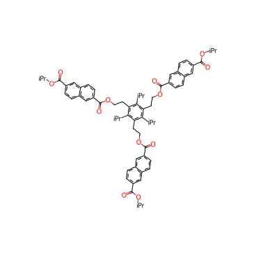 CC(C)OC(=O)c1ccc2cc(C(=O)OCCc3c(C(C)C)c(CCOC(=O)c4ccc5cc(C(=O)OC(C)C)ccc5c4)c(C(C)C)c(CCOC(=O)c4ccc5cc(C(=O)OC(C)C)ccc5c4)c3C(C)C)ccc2c1